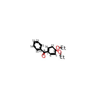 CCOC1(OCC)C=CC(C(=O)c2ccccc2)=CC1